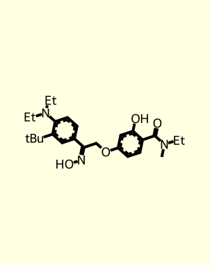 CCN(C)C(=O)c1ccc(OCC(=NO)c2ccc(N(CC)CC)c(C(C)(C)C)c2)cc1O